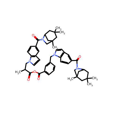 CC(Cn1ccc2cc(C(=O)N3CC4(C)CC3CC(C)(C)C4)ccc21)C(=O)OC(=O)c1cccc(Cn2ccc3cc(C(=O)N4CC5(C)CC4CC(C)(C)C5)ccc32)c1